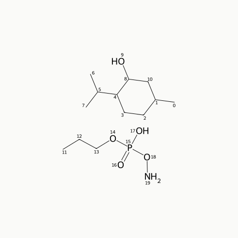 CC1CCC(C(C)C)C(O)C1.CCCOP(=O)(O)ON